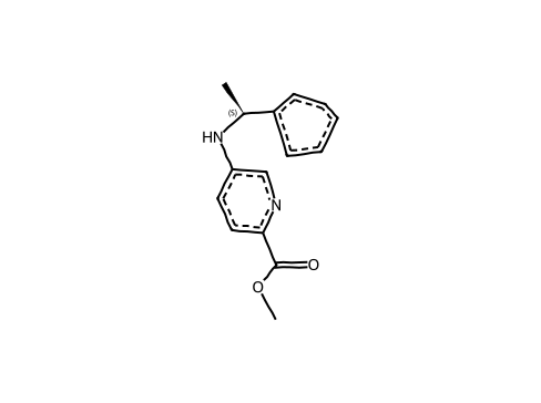 COC(=O)c1ccc(N[C@@H](C)c2ccccc2)cn1